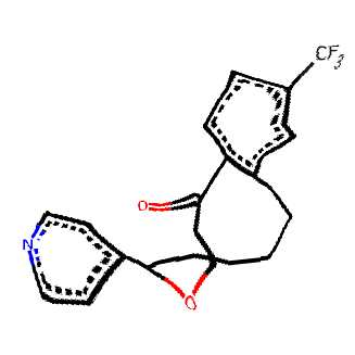 O=C1c2ccc(C(F)(F)F)cc2CCC12OC2c1ccncc1